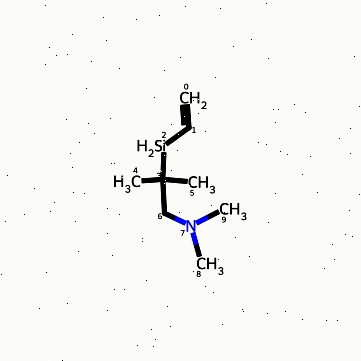 C=C[SiH2]C(C)(C)CN(C)C